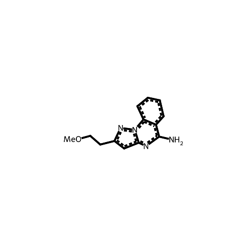 COCCc1cc2nc(N)c3ccccc3n2n1